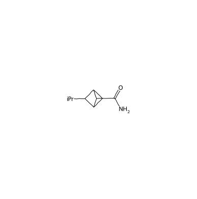 CC(C)C1C2CC1C2C(N)=O